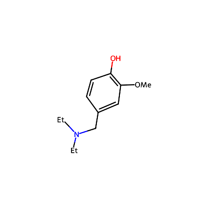 CCN(CC)Cc1ccc(O)c(OC)c1